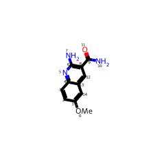 COc1ccc2nc(N)c(C(N)=O)cc2c1